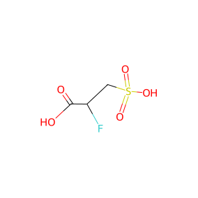 O=C(O)C(F)CS(=O)(=O)O